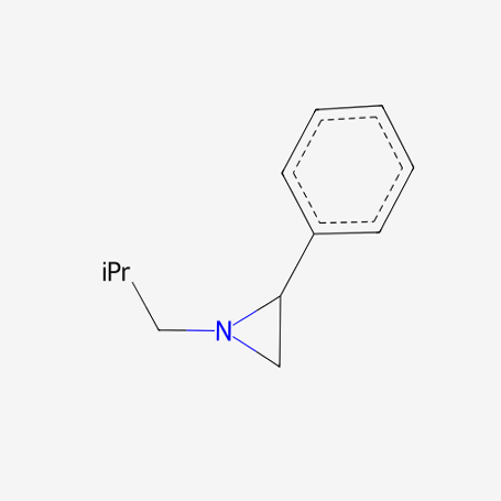 CC(C)CN1CC1c1ccccc1